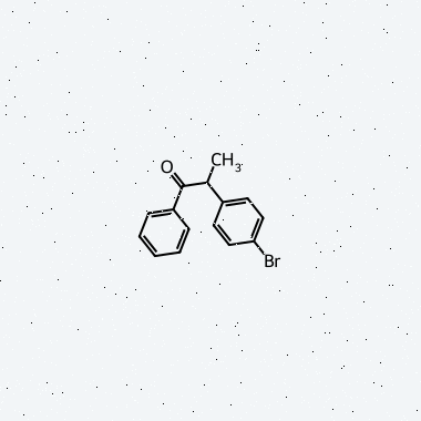 CC(C(=O)c1ccccc1)c1ccc(Br)cc1